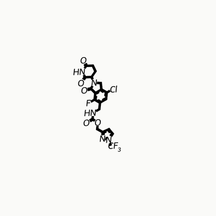 O=C1CCC(N2Cc3c(Cl)cc(CNC(=O)OCc4ccn(C(F)(F)F)n4)c(F)c3C2=O)C(=O)N1